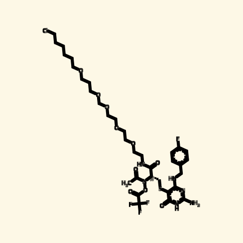 CC(=O)N(OC(=O)C(F)(F)F)[C@@H](CSc1c(NCc2ccc(F)cc2)nc(N)[nH]c1=O)C(=O)NCCOCCOCCOCOCCCOCCCCCCCl